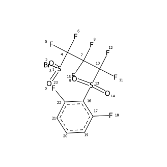 O=S(=O)(Br)C(F)(F)C(F)(F)C(F)(F)S(=O)(=O)c1c(F)cccc1F